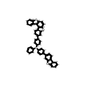 c1ccc(N(c2ccc(-c3ccc4c(c3)oc3ccccc34)cc2)c2ccc(-c3ccc4c(c3)oc3ccc5oc6ccccc6c5c34)cc2)cc1